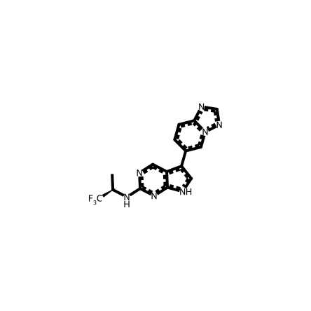 C[C@@H](Nc1ncc2c(-c3ccc4ncnn4c3)c[nH]c2n1)C(F)(F)F